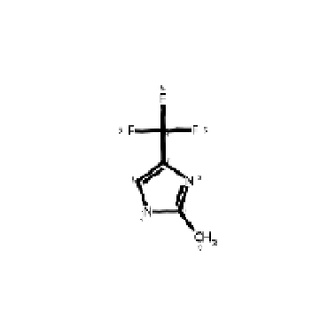 CC1=NC(C(F)(F)F)=C[N]1